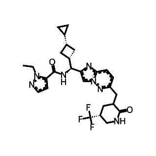 CCn1nccc1C(=O)N[C@H](c1cn2nc(CC3C[C@@H](C(F)(F)F)CNC3=O)ccc2n1)[C@H]1C[C@@H](C2CC2)C1